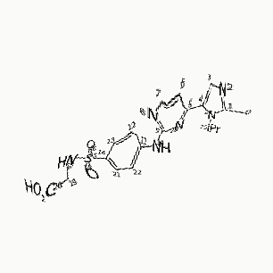 Cc1ncc(-c2ccnc(Nc3ccc(S(=O)(=O)NCC(=O)O)cc3)n2)n1C(C)C